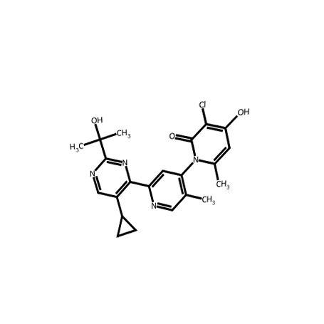 Cc1cnc(-c2nc(C(C)(C)O)ncc2C2CC2)cc1-n1c(C)cc(O)c(Cl)c1=O